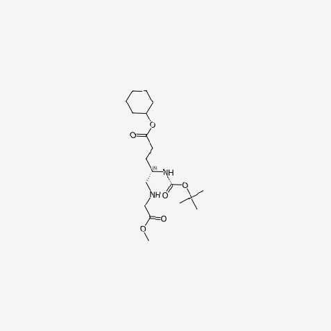 COC(=O)CNC[C@H](CCC(=O)OC1CCCCC1)NC(=O)OC(C)(C)C